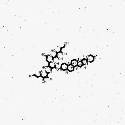 C[C@H]1CC[C@@]2(OC1)O[C@H]1C[C@H]3[C@@H]4CC[C@@H]5C[C@@H](OC(O)/C(OC(O)/C(O)=C(/O)C(O)CCO)=C(/O)C(CCO)OC(O)/C(O)=C(\O)C(O)CCO)CC[C@]5(C)[C@H]4CC[C@]3(C)[C@H]1[C@@H]2C